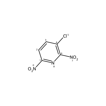 O=[N+]([O-])c1ccc(Cl)c([N+](=O)[O-])n1